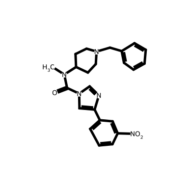 CN(C(=O)n1cnc(-c2cccc([N+](=O)[O-])c2)c1)C1CCN(Cc2ccccc2)CC1